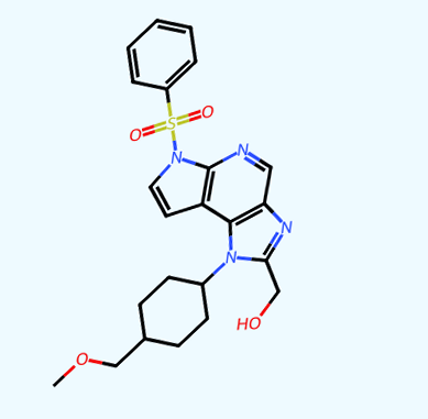 COCC1CCC(n2c(CO)nc3cnc4c(ccn4S(=O)(=O)c4ccccc4)c32)CC1